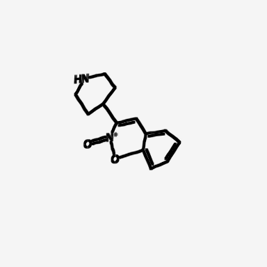 O=[n+]1oc2ccccc2cc1C1CCNCC1